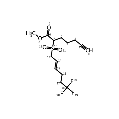 C#CCCCC(C(=O)OC)S(=O)(=O)CC=CCCC(F)(F)F